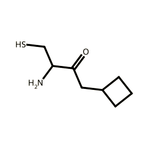 NC(CS)C(=O)CC1CCC1